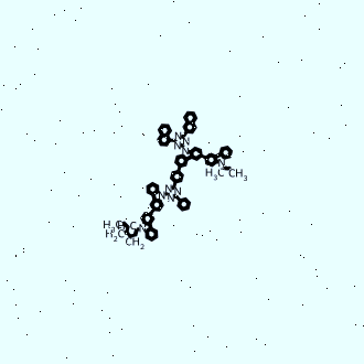 C=C(/C=C\C)C(=C)/C=C(\C)n1c2ccccc2c2cc(-c3ccc4c(c3)c3ccccc3n4-c3nc(-c4ccccc4)nc(-c4ccc(-c5ccc6c(c5)c5cc(-c7ccc8c(c7)c7ccccc7n8/C(C)=C/C)ccc5n6-c5nc(-c6ccc7ccccc7c6)nc(-c6cccc7ccccc67)n5)cc4)n3)ccc21